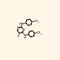 Fc1cnc(Nc2ccc(C(F)(F)F)cc2)nc1Nc1ccc(C(F)(F)F)cc1